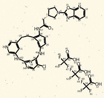 O=C(C[C@@H]1CCN(c2nc3cccnc3o2)C1)Nc1ccc2cc1CCc1cncc(c1)Nc1ncc(Cl)c(n1)N2.O=C(O)C(F)(F)F.O=C(O)C(F)(F)F.O=C(O)C(F)(F)F